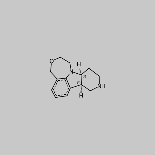 c1cc2c3c(c1)[C@@H]1CNCC[C@@H]1N3CCOC2